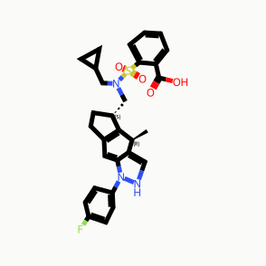 C[C@H]1C2=CNN(c3ccc(F)cc3)C2=CC2=C1[C@@H](CN(CC1CC1)S(=O)(=O)c1ccccc1C(=O)O)CC2